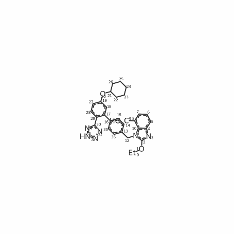 CCOc1nc2cccc(C(=O)O)c2n1Cc1ccc(-c2cc(OC3CCCCC3)ccc2-c2nn[nH]n2)cc1